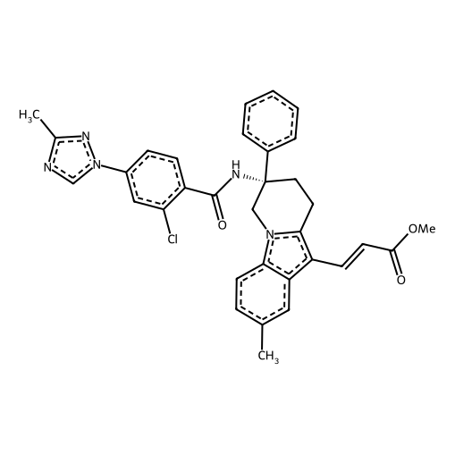 COC(=O)/C=C/c1c2n(c3ccc(C)cc13)C[C@@](NC(=O)c1ccc(-n3cnc(C)n3)cc1Cl)(c1ccccc1)CC2